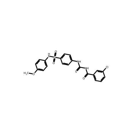 COc1ccc(NS(=O)(=O)c2ccc(NC(=S)NC(=O)c3cccc(Cl)c3)cc2)cc1